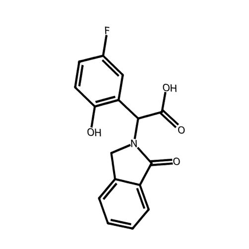 O=C(O)C(c1cc(F)ccc1O)N1Cc2ccccc2C1=O